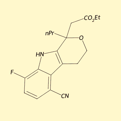 CCCC1(CC(=O)OCC)OCCc2c1[nH]c1c(F)ccc(C#N)c21